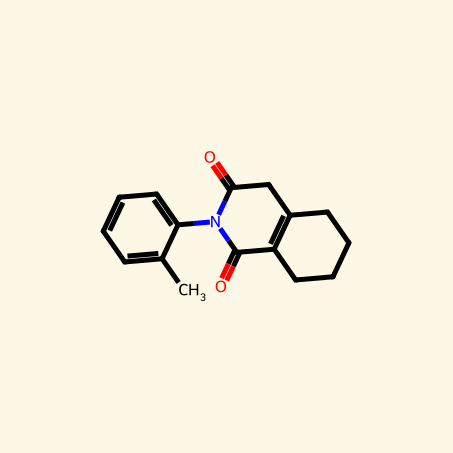 Cc1ccccc1N1C(=O)CC2=C(CCCC2)C1=O